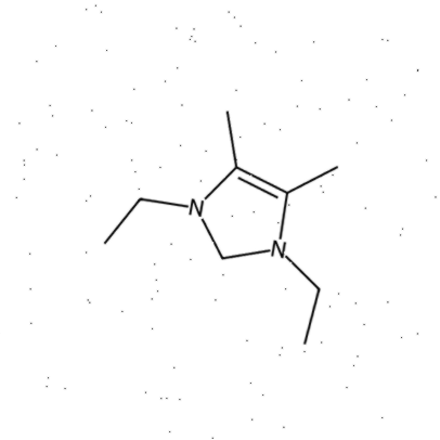 CCN1CN(CC)C(C)=C1C